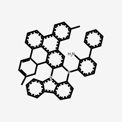 CC1=CC=C2c3cccc4c5ccc(C)cc5c5cc6c(c(c5c34)C2C1)-n1c2ccccc2c2cccc(c21)B6c1cccc(-c2ccccc2)c1N